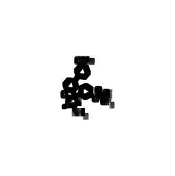 COc1cccc(-c2cccc(C3(c4cccc(OS(=O)(=O)C(F)(F)F)c4)N=C(N)N(C)C3=O)c2)c1.Cl